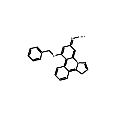 CO/N=c1/cc(OCc2ccccc2)c2c3ccccc3c3n(c-2c1)C=CC3